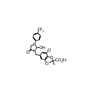 CCOC(=O)C(C)(C)Oc1c(Cl)cc(CN2C(=O)CN(c3ccc(C(F)(F)F)cc3)C2O)cc1Cl